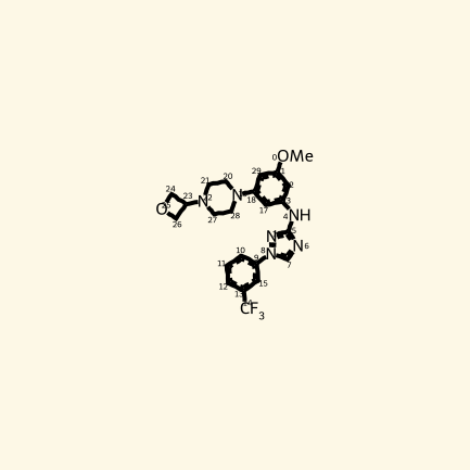 COc1cc(Nc2ncn(-c3cccc(C(F)(F)F)c3)n2)cc(N2CCN(C3COC3)CC2)c1